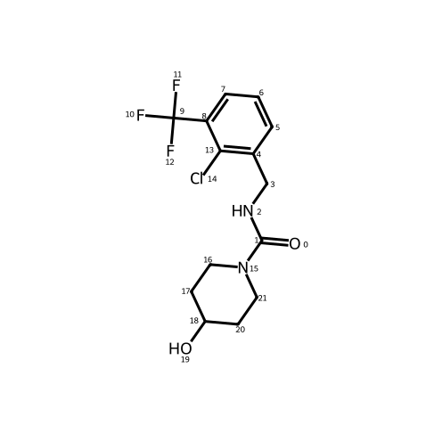 O=C(NCc1cccc(C(F)(F)F)c1Cl)N1CCC(O)CC1